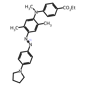 CCOC(=O)c1ccc(N(C)c2cc(C)c(/N=N/c3ccc(N4CCCC4)cc3)cc2C)cc1